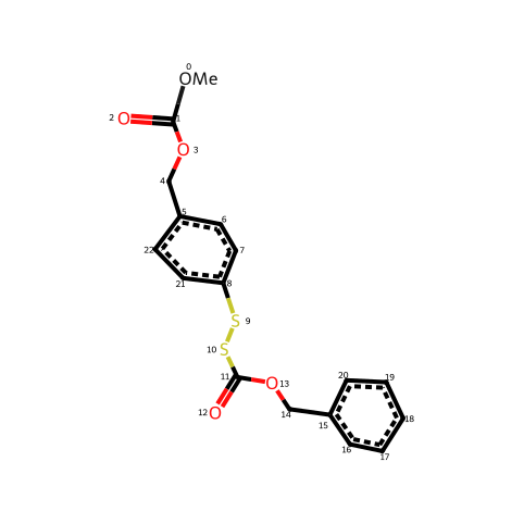 COC(=O)OCc1ccc(SSC(=O)OCc2ccccc2)cc1